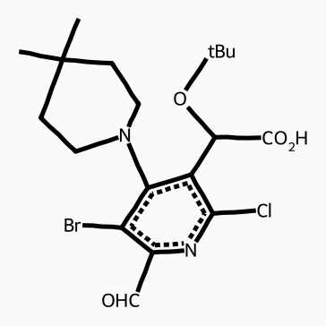 CC1(C)CCN(c2c(Br)c(C=O)nc(Cl)c2C(OC(C)(C)C)C(=O)O)CC1